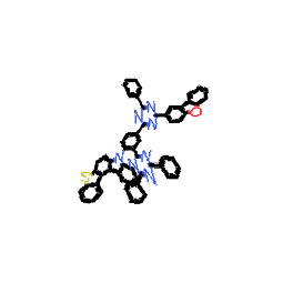 c1ccc(-c2nc(-c3ccc(-n4c5ccccc5c5c6c(ccc54)sc4ccccc46)c(-c4nc(-c5ccccc5)nc(-c5ccccc5)n4)c3)nc(-c3ccc4oc5ccccc5c4c3)n2)cc1